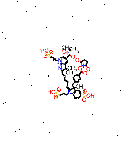 C\C=C(/C=C1\C(=N\CCCS(=O)(=O)O)N=C(/C=C/C=C/C=C2/N(CCCS(=O)(=O)O)c3ccc(S(=O)(=O)O)cc3C2(C)Cc2ccc(C(=O)ON3C(=O)CCC3=O)cc2)C1(C)C)C(=O)N(C)OC